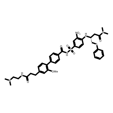 COc1cc(CCC(=O)NCCN(C)C)ccc1-c1ccc(C(=O)NS(=O)(=O)c2ccc(N[C@@H](CSc3ccccc3)CC(=O)N(C)C)c([N+](=O)[O-])c2)cc1